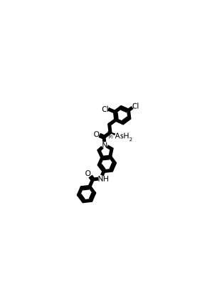 O=C(Nc1ccc2c(c1)CN(C(=O)[C@H]([AsH2])Cc1ccc(Cl)cc1Cl)C2)c1ccccc1